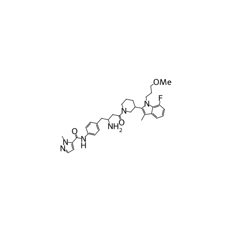 COCCCn1c(C2CCCN(C(=O)CC(N)Cc3ccc(NC(=O)c4ccnn4C)cc3)C2)c(C)c2cccc(F)c21